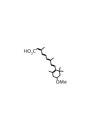 COC1CC(C)=C(/C=C/C(C)=C/C=C/C(C)=C\C(=O)O)C(C)(C)C1